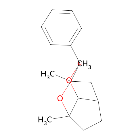 CC1(C)CC2CCC(C)(O1)C2OCc1ccccc1